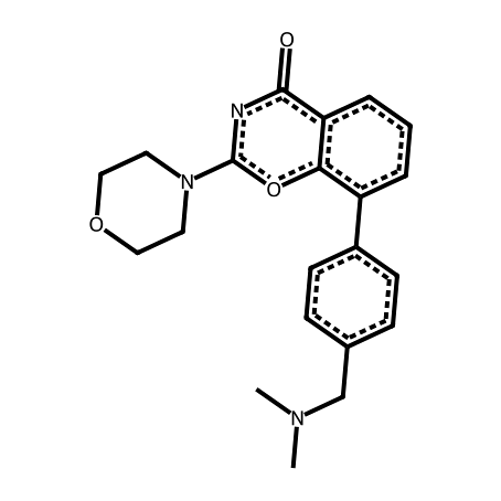 CN(C)Cc1ccc(-c2cccc3c(=O)nc(N4CCOCC4)oc23)cc1